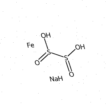 O=S(O)S(=O)O.[Fe].[NaH]